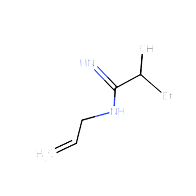 C=CCNC(=N)C(C)CC